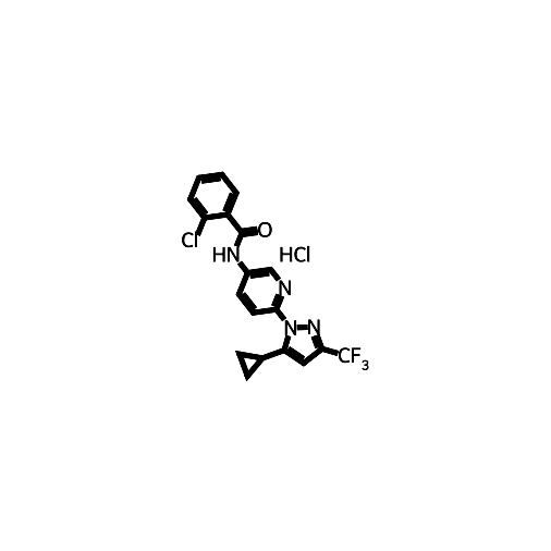 Cl.O=C(Nc1ccc(-n2nc(C(F)(F)F)cc2C2CC2)nc1)c1ccccc1Cl